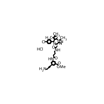 COC(=O)c1cc(C#CCN)cc(NC(=O)CCCNC(=O)C[C@@H]2N=C(c3ccc(Cl)cc3)c3c(sc(C)c3C)-n3c(C)nnc32)c1.Cl